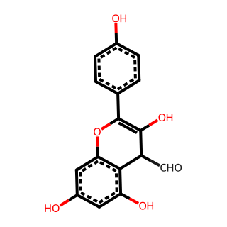 O=CC1C(O)=C(c2ccc(O)cc2)Oc2cc(O)cc(O)c21